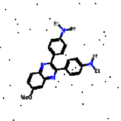 CCN(CC)c1ccc(-c2nc3ccc(OC)cc3nc2-c2ccc(N(CC)CC)cc2)cc1